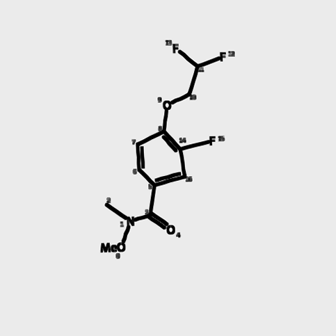 CON(C)C(=O)c1ccc(OCC(F)F)c(F)c1